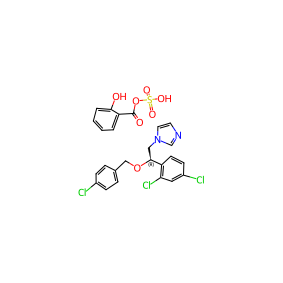 Clc1ccc(CO[C@@H](Cn2ccnc2)c2ccc(Cl)cc2Cl)cc1.O=C(OS(=O)(=O)O)c1ccccc1O